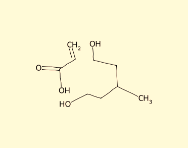 C=CC(=O)O.CC(CCO)CCO